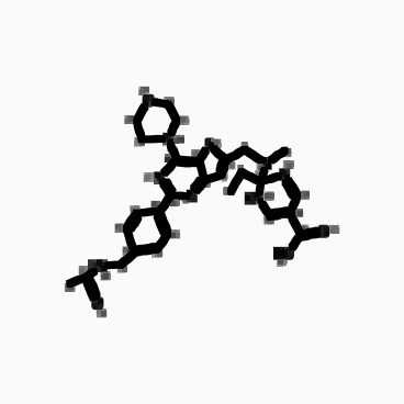 CCC1(N(C)Cc2cc3nc(-c4ccc(CNC(C)=O)cc4)nc(N4CCOCC4)c3s2)N=CC(C(=O)O)=CN1